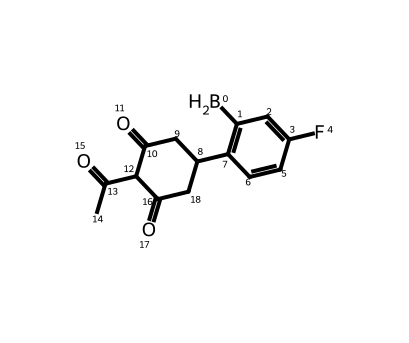 Bc1cc(F)ccc1C1CC(=O)C(C(C)=O)C(=O)C1